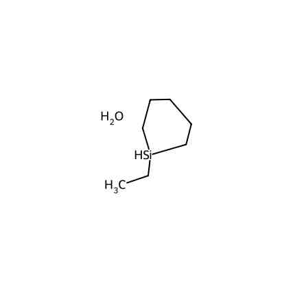 CC[SiH]1CCCCC1.O